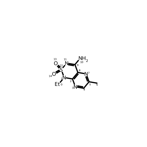 CCN1c2ncc(C)nc2C(N)=NS1(=O)=O